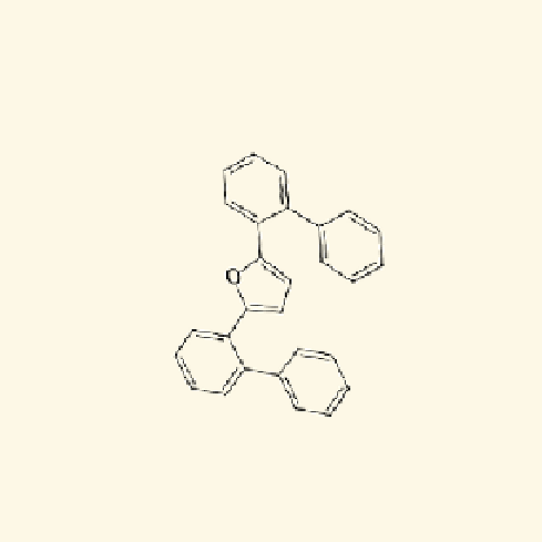 c1ccc(-c2ccccc2-c2ccc(-c3ccccc3-c3ccccc3)o2)cc1